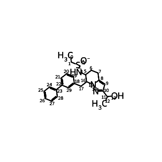 CC[S+]([O-])NC1CCc2cc(C(C)O)nn2C1Cc1cccc(-c2ccccc2)c1